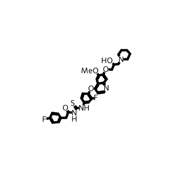 COc1cc2c(Oc3ccc(NC(=S)NC(=O)Cc4ccc(F)cc4)cc3F)ccnc2cc1OCC(O)CN1CCCCC1